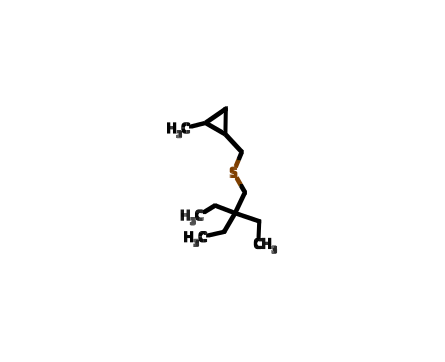 CCC(CC)(CC)CSCC1CC1C